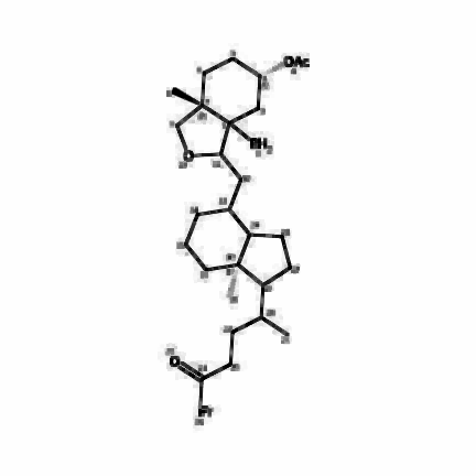 BC12C[C@@H](OC(C)=O)CC[C@@]1(C)COC2CC1CCC[C@]2(C)C(C(C)CCC(=O)C(C)C)CCC12